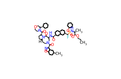 CCCOC(=O)[C@H](C)NP(=O)(Oc1ccccc1)C(F)c1ccc2ccc(C(=O)N[C@H]3CN(C(=O)c4noc5ccc(C)cc45)CC[C@H]4CC[C@@H](C(=O)N5CCOC[C@H]5c5ccccc5)N4C3=O)cc2c1